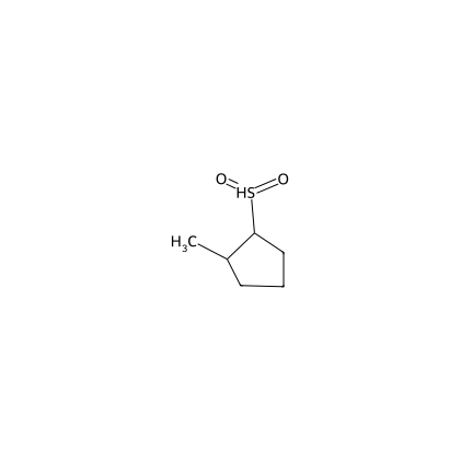 CC1CCCC1[SH](=O)=O